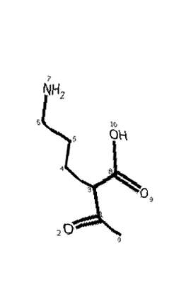 CC(=O)C(CCCN)C(=O)O